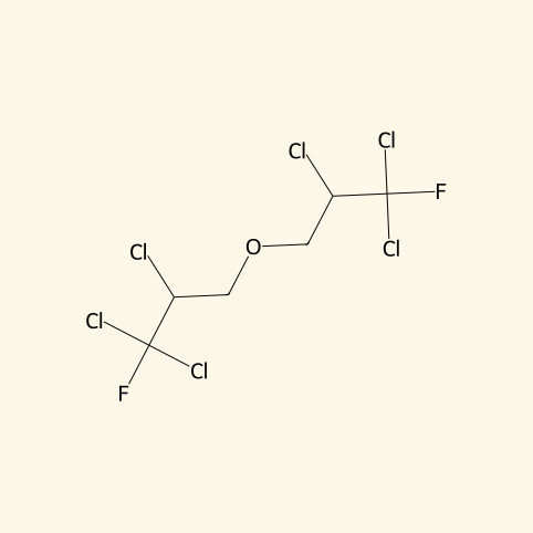 FC(Cl)(Cl)C(Cl)COCC(Cl)C(F)(Cl)Cl